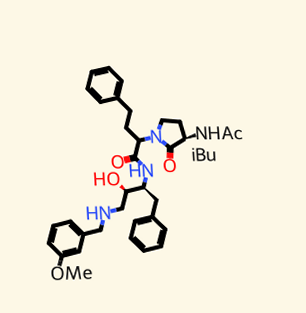 CC[C@H](C)[C@@]1(NC(C)=O)CCN(C(CCc2ccccc2)C(=O)N[C@@H](Cc2ccccc2)[C@H](O)CNCc2cccc(OC)c2)C1=O